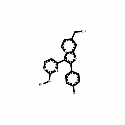 CCC(C)Nc1nccc(-c2c(-c3ccc(F)cc3)nc3cc(CO)ccn23)n1